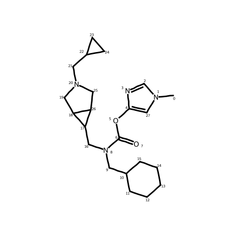 Cn1cnc(OC(=O)N(CC2CCCCC2)CC2C3CN(CC4CC4)CC32)c1